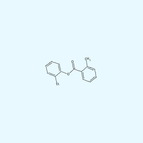 CCc1ccccc1OC(=O)c1ccccc1C